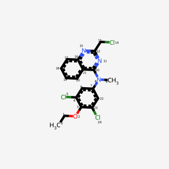 CCOc1c(Cl)cc(N(C)c2nc(CCl)nc3ccccc23)cc1Cl